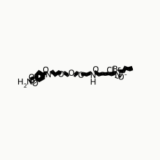 C#CCCC[N+](C)([O-])C(Br)=CC(Cl)CCCC(=O)NCCCOCCOCCOCCCNC(=O)c1ccc(S(N)(=O)=O)cc1